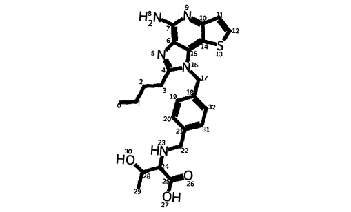 CCCCc1nc2c(N)nc3ccsc3c2n1Cc1ccc(CNC(C(=O)O)C(C)O)cc1